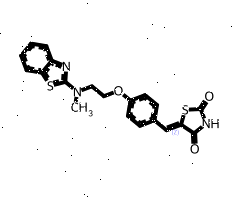 CN(CCOc1ccc(/C=C2\SC(=O)NC2=O)cc1)c1nc2ccccc2s1